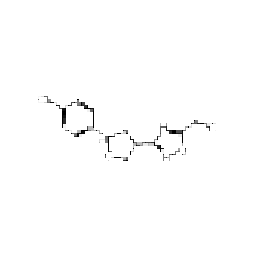 ClCc1nc(C2CO[C@@H](c3ccc(Cl)cc3)C2)no1